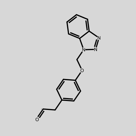 O=[C]Cc1ccc(OCn2nnc3ccccc32)cc1